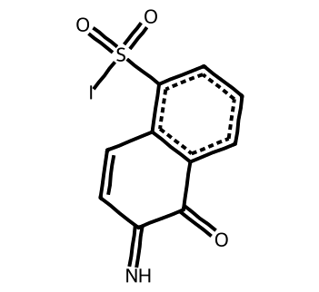 N=C1C=Cc2c(cccc2S(=O)(=O)I)C1=O